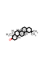 C[C@H]1C(=O)CC[C@@H]2[C@]1(C)CC[C@H]1[C@@]2(C)CC[C@@]2(C)[C@@H]3CC(C)(C)CCC3CC[C@]12C